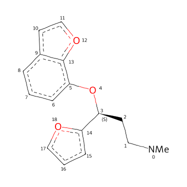 CNCC[C@H](Oc1cccc2ccoc12)c1ccco1